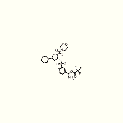 NC(OC(=O)C(F)(F)F)c1ccnc(S(=O)(=O)C[C@@H]2CC(C3CCCCC3)CN2S(=O)(=O)N2CCOCC2)c1